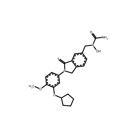 COc1ccc(N2Cc3ccc(CN(O)C(N)=O)cc3C2=S)cc1OC1CCCC1